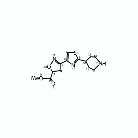 COC(=O)C1CC(c2csc(C3CCNCC3)n2)=NO1